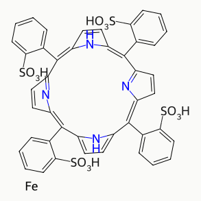 O=S(=O)(O)c1ccccc1-c1c2nc(c(-c3ccccc3S(=O)(=O)O)c3ccc([nH]3)c(-c3ccccc3S(=O)(=O)O)c3nc(c(-c4ccccc4S(=O)(=O)O)c4ccc1[nH]4)C=C3)C=C2.[Fe]